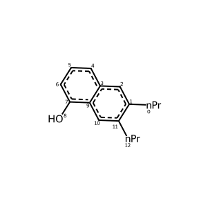 CCCc1cc2cccc(O)c2cc1CCC